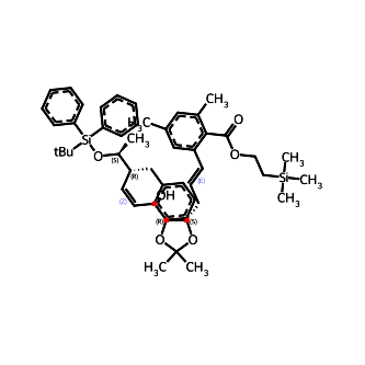 Cc1cc(C)c(C(=O)OCC[Si](C)(C)C)c(/C=C/C[C@@H]2OC(C)(C)O[C@@H]2C(O)/C=C\[C@@H](Cc2ccccc2)[C@H](C)O[Si](c2ccccc2)(c2ccccc2)C(C)(C)C)c1